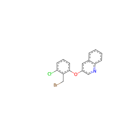 Clc1cccc(Oc2cnc3ccccc3c2)c1CBr